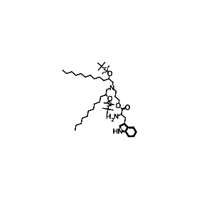 CCCCCCCCCCC(CN(CCCOC(=O)C(N)Cc1c[nH]c2ccccc12)CC(CCCCCCCCCC)O[Si](C)(C)C(C)(C)C)O[Si](C)(C)C(C)(C)C